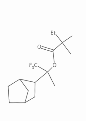 CCC(C)(C)C(=O)OC(C)(C1CC2CCC1C2)C(F)(F)F